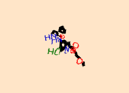 CCOCCCOC(=O)c1cc2cc(NC(=O)[C@H]3NCC[C@H]3c3ccccc3)ccc2n1C.Cl